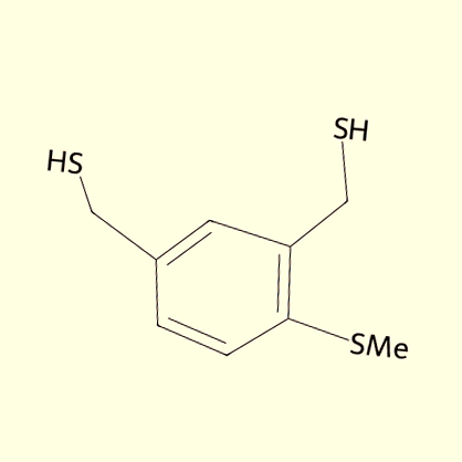 CSc1ccc(CS)cc1CS